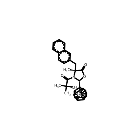 CC(C)(C)C(=O)N1[C@H]([C]23[CH]4[CH]5[CH]6[CH]2[Fe]56432789[CH]3[CH]2[CH]7[CH]8[CH]39)OC(=O)[C@@]1(C)Cc1ccc2ccccc2c1